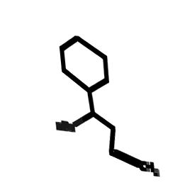 C=CCC(CCCC)C1CCCCC1